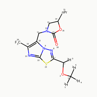 [2H]C(OC([2H])([2H])[2H])c1nn2c(CN3CC(CCC)OC3=O)c(C(F)(F)F)nc2s1